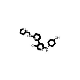 O[C@H]1CC[C@H](Nc2cc(-c3cccc(NC[C@H]4CCCO4)n3)c(Cl)cn2)CC1